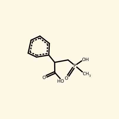 CP(=O)(O)CC(C(=O)O)c1ccccc1